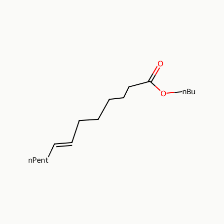 CCCCCC=CCCCCCC(=O)OCCCC